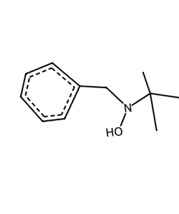 CC(C)(C)N(O)Cc1ccccc1